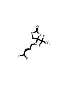 O=C1OCC(OCC=CC(F)F)(C(F)(F)C(F)(F)F)O1